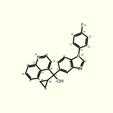 OC(c1ccc2c(c1)ncn2-c1ccc(F)cc1)(c1ccnc2ccccc12)C1CC1